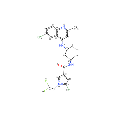 O=C(N[C@@H]1CCC[C@H](Nc2cc(C(F)(F)F)nc3ccc(Cl)cc23)C1)c1cc(Cl)n(CC(F)F)c1